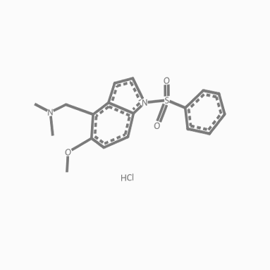 COc1ccc2c(ccn2S(=O)(=O)c2ccccc2)c1CN(C)C.Cl